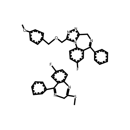 COc1ccc(COCc2nnc3n2-c2ccc(F)cc2C(c2ccccc2)=NC3)cc1.CSC1=Nc2ccc(F)cc2C(c2ccccc2)=NC1